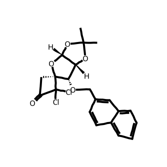 CC1(C)O[C@H]2O[C@@]3(CC(=O)C3(Cl)Cl)[C@@H](OCc3ccc4ccccc4c3)[C@H]2O1